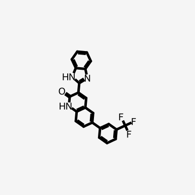 O=c1[nH]c2ccc(-c3cccc(C(F)(F)F)c3)cc2cc1-c1nc2ccccc2[nH]1